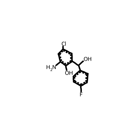 Nc1cc(Cl)cc(C(O)c2ccc(F)cc2)c1O